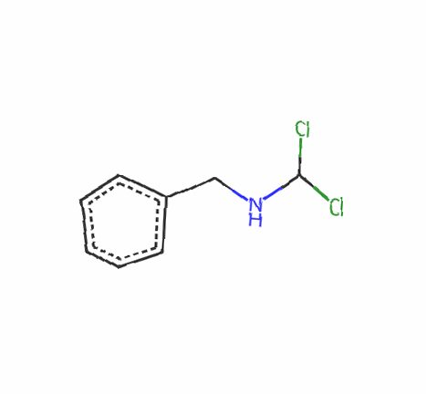 ClC(Cl)NCc1ccccc1